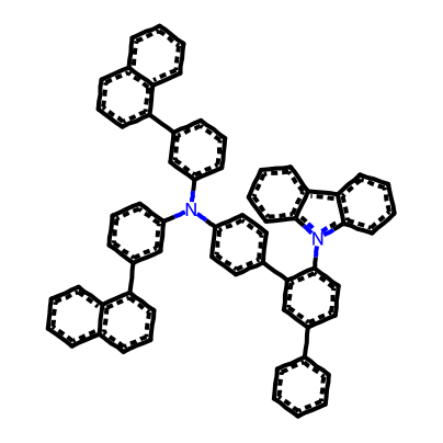 c1ccc(-c2ccc(-n3c4ccccc4c4ccccc43)c(-c3ccc(N(c4cccc(-c5cccc6ccccc56)c4)c4cccc(-c5cccc6ccccc56)c4)cc3)c2)cc1